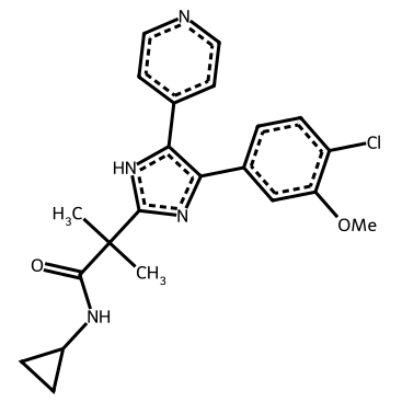 COc1cc(-c2nc(C(C)(C)C(=O)NC3CC3)[nH]c2-c2ccncc2)ccc1Cl